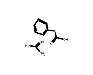 N=C(N)N.O=C(O)Oc1ccccc1